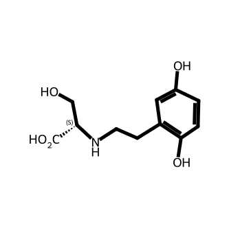 O=C(O)[C@H](CO)NCCc1cc(O)ccc1O